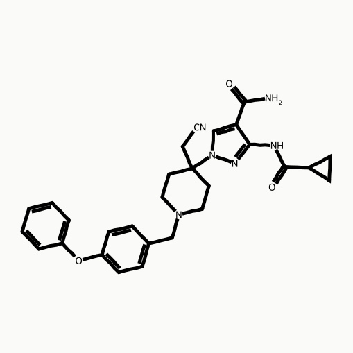 N#CCC1(n2cc(C(N)=O)c(NC(=O)C3CC3)n2)CCN(Cc2ccc(Oc3ccccc3)cc2)CC1